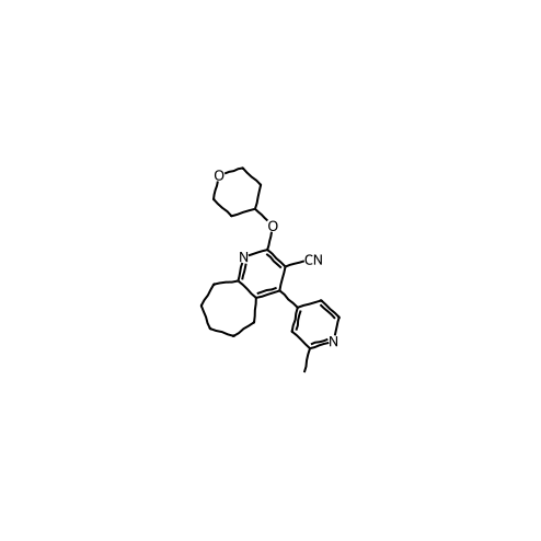 Cc1cc(-c2c(C#N)c(OC3CCOCC3)nc3c2CCCCC3)ccn1